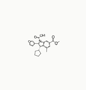 COC(=O)c1cc(C)c2c(C3CCCC3)c(-c3ccoc3)n(C(=O)O)c2c1